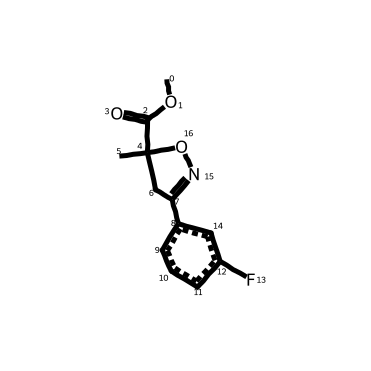 COC(=O)C1(C)CC(c2cccc(F)c2)=NO1